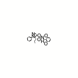 CCCc1c(OC(=O)NCc2c(OC)cccc2OC)cnn1-c1ccccc1